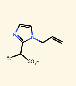 C=CCn1ccnc1C(CC)S(=O)(=O)O